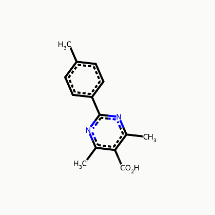 Cc1ccc(-c2nc(C)c(C(=O)O)c(C)n2)cc1